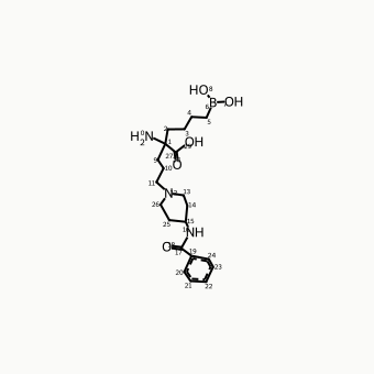 NC(CCCCB(O)O)(CCCN1CCC(NC(=O)c2ccccc2)CC1)C(=O)O